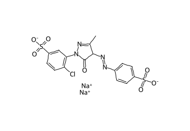 CC1=NN(c2cc(S(=O)(=O)[O-])ccc2Cl)C(=O)C1N=Nc1ccc(S(=O)(=O)[O-])cc1.[Na+].[Na+]